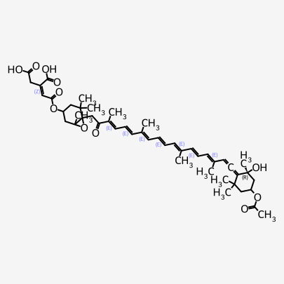 CC(=O)OC1CC(C)(C)C(=C=C/C(C)=C/C=C/C(C)=C/C=C/C=C(C)/C=C/C=C(\C)C(=O)CC23OC2(C)CC(OC(=O)/C=C(/CC(=O)O)C(=O)O)CC3(C)C)[C@](C)(O)C1